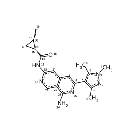 Cc1nn(C)c(C)c1-c1cc2cc(NC(=O)[C@H]3C[C@H]3F)ncc2c(N)n1